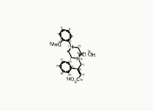 COc1ccccc1N1CCN(CC(=CC(=O)O)c2ccccc2)CC1.Cl.Cl